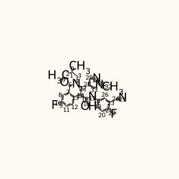 CC(C)CN1C(=O)c2cc(F)ccc2[C@H](C(=O)Nc2ccc(F)c(C#N)c2)[C@H]1c1cnn(C)c1